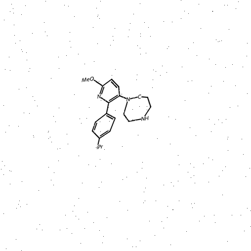 COc1ccc(N2CCCNCC2)c(-c2ccc(C(C)C)cc2)n1